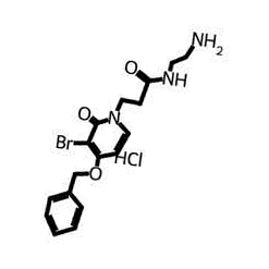 Cl.NCCNC(=O)CCn1ccc(OCc2ccccc2)c(Br)c1=O